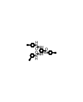 C#Cc1ccc(NC(=O)Nc2cc(NC(=O)Nc3cccc(C#C)c3)cc(C(=O)Nc3ccc(C#C)cc3)c2)cc1